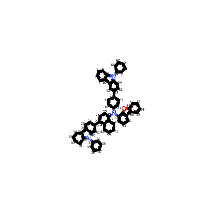 c1ccc(-n2c3ccccc3c3cc(-c4ccc(N(c5ccc(-c6ccc7c8ccccc8n(-c8ccccc8)c7c6)c6ccccc56)c5cccc6c5oc5ccccc56)cc4)ccc32)cc1